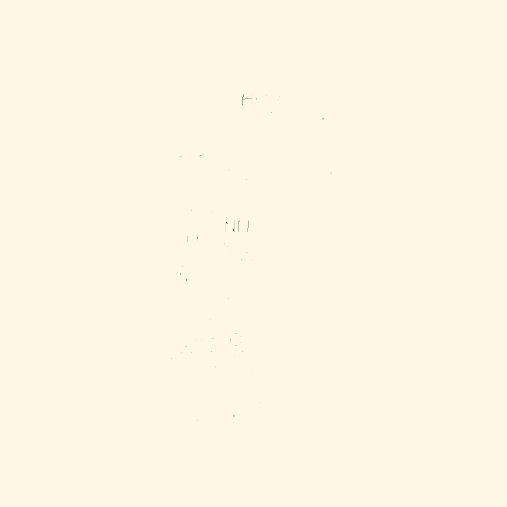 O=C(O)c1ccccc1CCc1ccccc1NS(=O)(=O)c1cc(S(=O)(=O)c2ccccc2)cs1